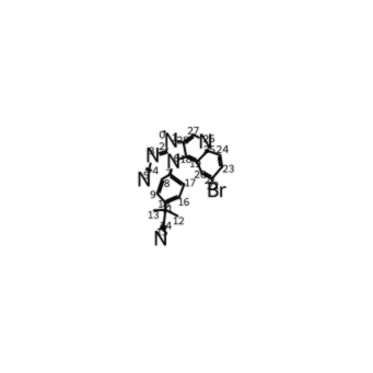 Cn1/c(=N/C#N)n(-c2ccc(C(C)(C)C#N)cc2)c2c3cc(Br)ccc3ncc21